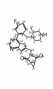 C[C@H]1CNCCN1Cc1ccc(F)cc1-c1ncnc2cc(CN3C(=O)C4CC4C3=O)sc12